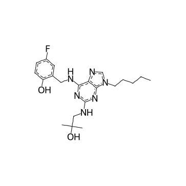 CCCCCn1cnc2c(NCc3cc(F)ccc3O)nc(NCC(C)(C)O)nc21